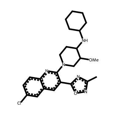 COC1CN(c2nc3ccc(Cl)cc3cc2-c2nc(C)no2)CCC1NC1CCCCC1